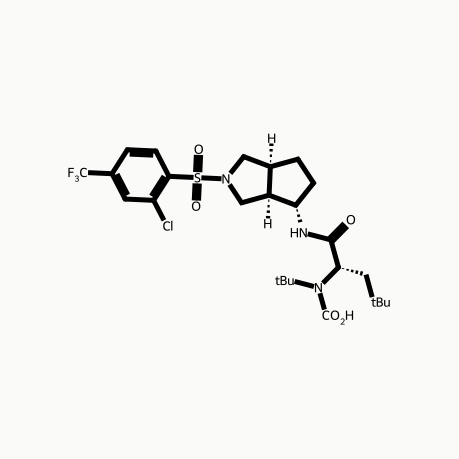 CC(C)(C)C[C@@H](C(=O)N[C@H]1CC[C@@H]2CN(S(=O)(=O)c3ccc(C(F)(F)F)cc3Cl)C[C@@H]21)N(C(=O)O)C(C)(C)C